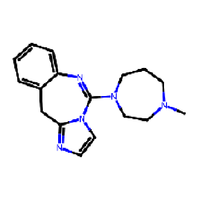 CN1CCCN(C2=Nc3ccccc3Cc3nccn32)CC1